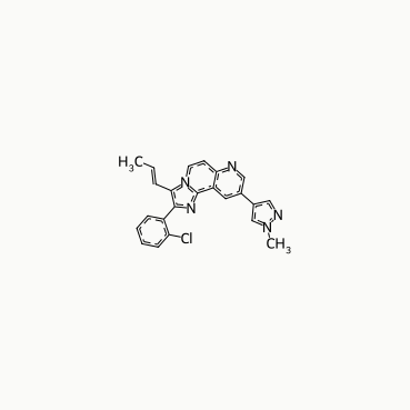 CC=Cc1c(-c2ccccc2Cl)nc2c3cc(-c4cnn(C)c4)cnc3ccn12